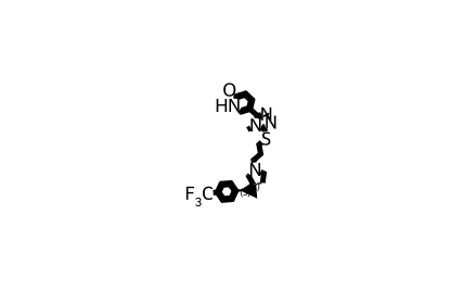 Cn1c(SCCCN2CC[C@@]3(C[C@H]3c3ccc(C(F)(F)F)cc3)C2)nnc1-c1ccc(=O)[nH]c1